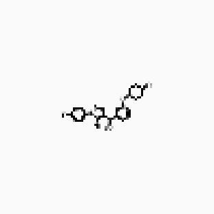 Nc1c(C(=O)c2cccc(OC3CCC(=O)CC3)c2)cnn1-c1ccc(F)cc1